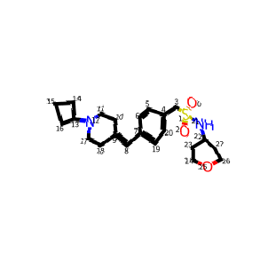 O=S(=O)(Cc1ccc(C=C2CCN(C3CCC3)CC2)cc1)NC1CCOCC1